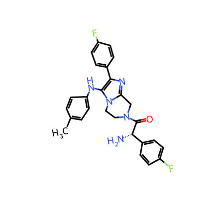 Cc1ccc(Nc2c(-c3ccc(F)cc3)nc3n2CCN(C(=O)[C@@H](N)c2ccc(F)cc2)C3)cc1